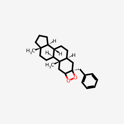 C[C@@]12CCC[C@H]1[C@@H]1CC[C@H]3C[C@@]4(Cc5ccccc5)OOC4C[C@]3(C)[C@H]1CC2